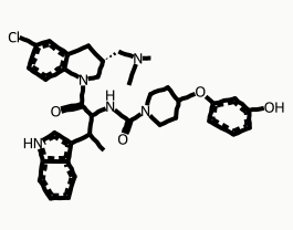 CC(c1c[nH]c2ccccc12)C(NC(=O)N1CCC(Oc2cccc(O)c2)CC1)C(=O)N1C[C@@H](CN(C)C)Cc2cc(Cl)ccc21